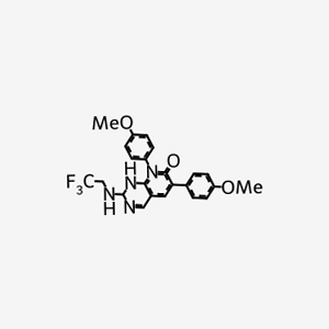 COc1ccc(-c2cc3c(n(-c4ccc(OC)cc4)c2=O)NC(NCC(F)(F)F)N=C3)cc1